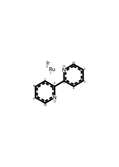 [Ir].[Ru].c1ccc(-c2ccccn2)nc1